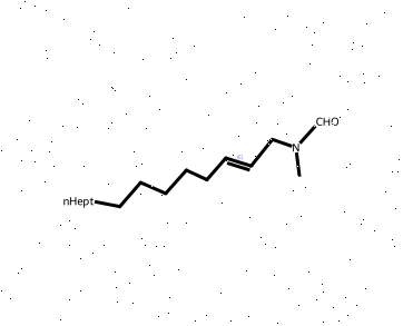 CCCCCCCCCCCC/C=C/CN(C)C=O